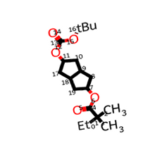 CCC(C)(C)C(=O)OC1CC2CC(OC(=O)OC(C)(C)C)CC2C1